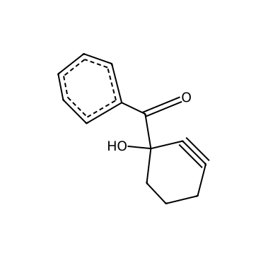 O=C(c1ccccc1)C1(O)C#CCCC1